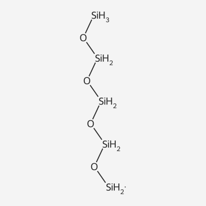 [SiH2]O[SiH2]O[SiH2]O[SiH2]O[SiH3]